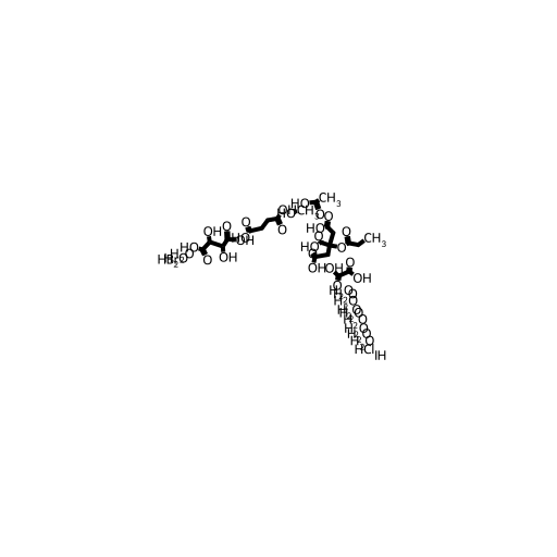 Br.CC(=O)O.CCC(=O)OC(CC(=O)O)(CC(=O)O)C(=O)O.CO.Cl.I.O.O.O.O.O.O.O.O.O.O.O.O=C(O)C(=O)O.O=C(O)C(O)C(O)C(=O)O.O=C(O)CCC(=O)O